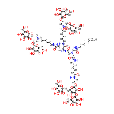 O=C(O)CCCCCNC(=O)CN(CC(=O)NCCCCCC(=O)NCCO[C@@H]1O[C@H](CO[C@H]2O[C@H](CO)[C@@H](O)[C@H](O)[C@@H]2O)[C@@H](O)[C@H](O[C@H]2O[C@H](CO)[C@@H](O)[C@H](O)[C@@H]2O)[C@H]1O)CC(=O)N[C@@H](CCC(=O)NCCCCCCN(CCO[C@H]1O[C@H](CO)[C@@H](O)[C@H](O)[C@@H]1O)CCO[C@H]1O[C@H](CO)[C@@H](O)[C@H](O)[C@@H]1O)C(=O)NCCCCCCN(CCO[C@H]1O[C@H](CO)[C@@H](O)[C@H](O)[C@@H]1O)CCO[C@H]1O[C@H](CO)[C@@H](O)[C@H](O)[C@@H]1O